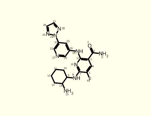 NC(=O)c1cc(F)c(NC2CCCCC2N)nc1Nc1cncc(-n2nccn2)c1